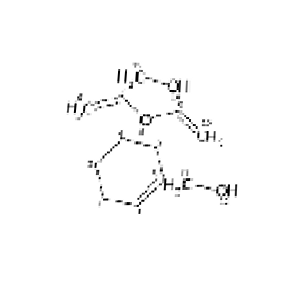 C1=CCCCC1.C=COC=C.CO.CO